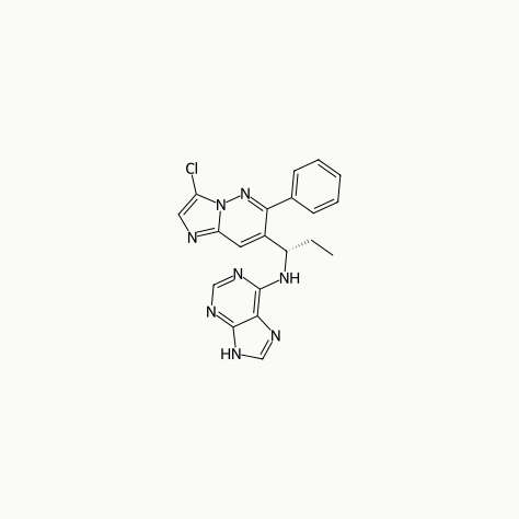 CC[C@H](Nc1ncnc2[nH]cnc12)c1cc2ncc(Cl)n2nc1-c1ccccc1